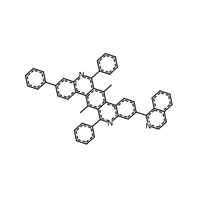 Cc1c2c(-c3ccccc3)nc3cc(-c4nccc5ccccc45)ccc3c2c(C)c2c(-c3ccccc3)nc3cc(-c4ccccc4)ccc3c12